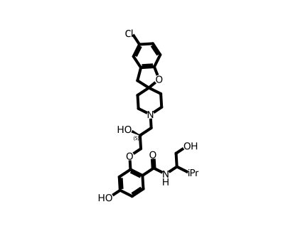 CC(C)C(CO)NC(=O)c1ccc(O)cc1OC[C@@H](O)CN1CCC2(CC1)Cc1cc(Cl)ccc1O2